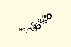 O=C(O)CON1C(=O)N2C[C@H]1CC[C@@H]2C(=O)NOC[C@@H]1CCCCN1